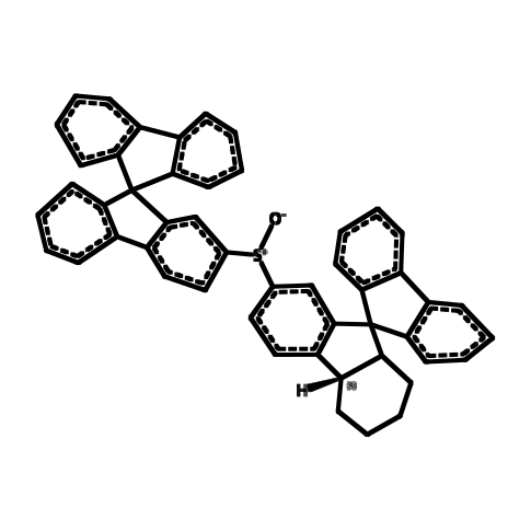 [O-][S+](c1ccc2c(c1)C1(c3ccccc3-c3ccccc31)c1ccccc1-2)c1ccc2c(c1)C1(c3ccccc3-c3ccccc31)C1CCCC[C@H]21